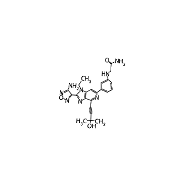 CCn1c(-c2nonc2N)nc2c(C#CC(C)(C)O)nc(-c3cccc(NCC(N)=O)c3)cc21